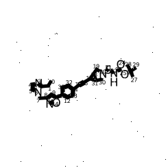 CCc1nccn1Cc1cc(-c2ccc(C#CC3C4CN(SNC(=O)OC(C)(C)C)CC34)cc2)on1